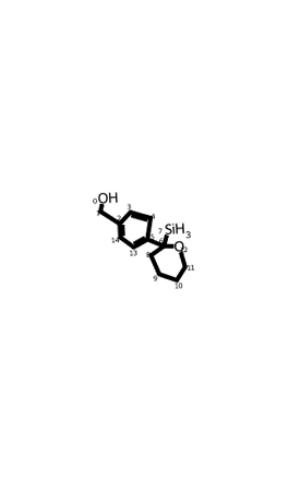 OCc1ccc(C2([SiH3])CCCCO2)cc1